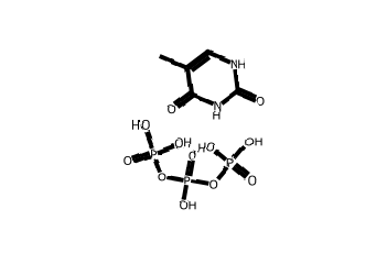 Cc1c[nH]c(=O)[nH]c1=O.O=P(O)(O)OP(=O)(O)OP(=O)(O)O